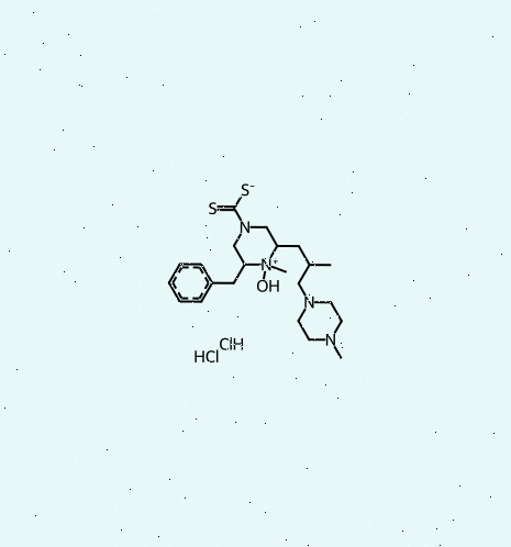 CC(CC1CN(C(=S)[S-])CC(Cc2ccccc2)[N+]1(C)O)CN1CCN(C)CC1.Cl.Cl